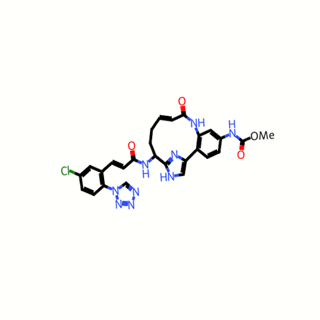 COC(=O)Nc1ccc2c(c1)NC(=O)/C=C/CCC(NC(=O)/C=C/c1cc(Cl)ccc1-n1cnnn1)c1nc-2c[nH]1